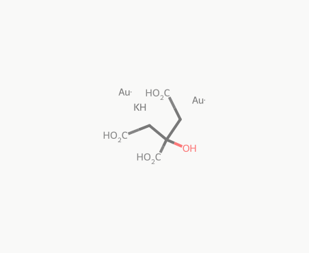 O=C(O)CC(O)(CC(=O)O)C(=O)O.[Au].[Au].[KH]